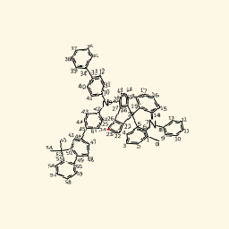 Cc1cccc2c1N(c1ccccc1)c1ccccc1C21c2ccccc2-c2c(N(c3ccc(-c4ccccc4)cc3)c3ccc(-c4ccc5c(c4)C(C)(C)c4ccccc4-5)cc3)cccc21